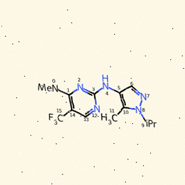 CNc1nc(Nc2cnn(C(C)C)c2C)ncc1C(F)(F)F